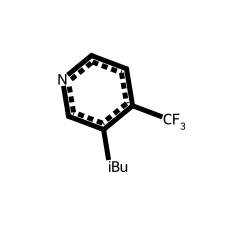 CCC(C)c1cnccc1C(F)(F)F